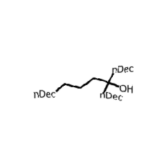 CCCCCCCCCCCCCC(O)(CCCCCCCCCC)CCCCCCCCCC